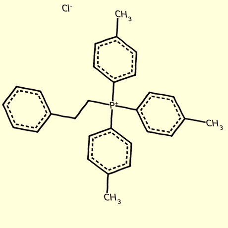 Cc1ccc([P+](CCc2ccccc2)(c2ccc(C)cc2)c2ccc(C)cc2)cc1.[Cl-]